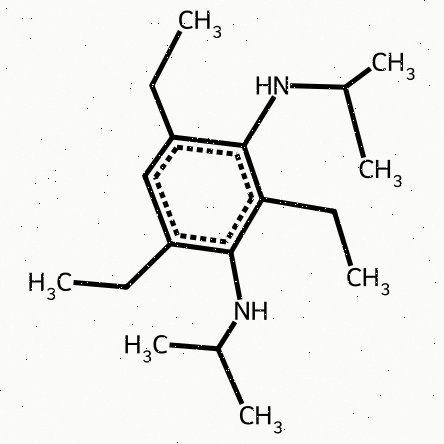 CCc1cc(CC)c(NC(C)C)c(CC)c1NC(C)C